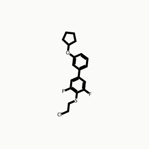 Fc1cc(-c2cccc(OC3CCCC3)c2)cc(F)c1SCCCl